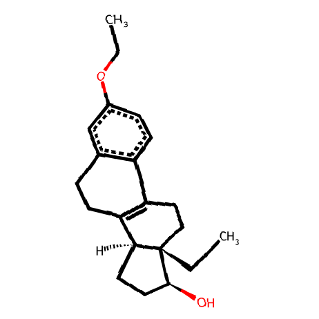 CCOc1ccc2c(c1)CCC1=C2CC[C@]2(CC)[C@@H](O)CC[C@@H]12